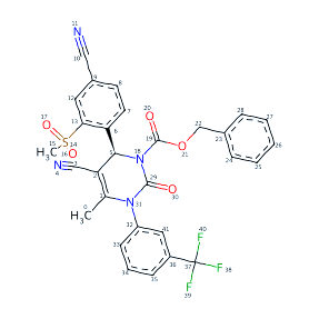 CC1=C(C#N)[C@@H](c2ccc(C#N)cc2S(C)(=O)=O)N(C(=O)OCc2ccccc2)C(=O)N1c1cccc(C(F)(F)F)c1